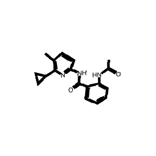 CC(=O)Nc1ccccc1C(=O)Nc1ccc(C)c(C2CC2)n1